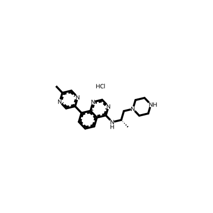 Cc1cnc(-c2cccc3c(N[C@@H](C)CN4CCNCC4)ncnc23)cn1.Cl